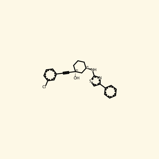 O[C@]1(C#Cc2cccc(Cl)c2)CCC[C@@H](Nc2nc(-c3ccccc3)cs2)C1